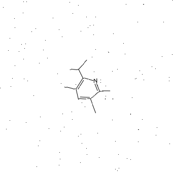 Cc1cc(C)c(C(C)C)nc1C